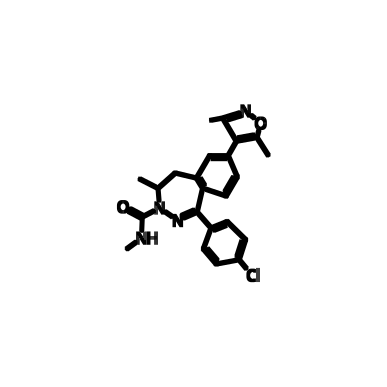 CNC(=O)N1N=C(c2ccc(Cl)cc2)c2ccc(-c3c(C)noc3C)cc2CC1C